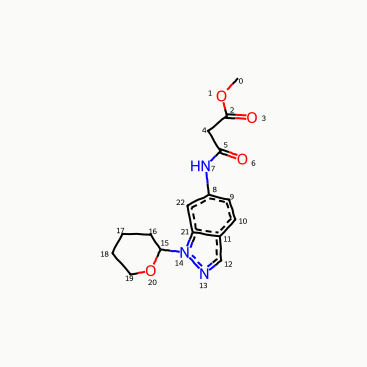 COC(=O)CC(=O)Nc1ccc2cnn(C3CCCCO3)c2c1